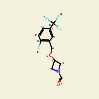 O=CN1CC(OCc2cc(C(F)(F)F)ccc2F)C1